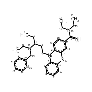 CCC(CCN1c2ccccc2Sc2cc(C(=N)N(CC)CC)ccc21)N(CC)Cc1ccccn1